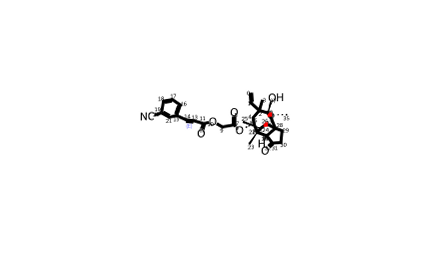 C=CC1(C)C[C@@H](OC(=O)COC(=O)/C=C/c2cccc(C#N)c2)[C@]2(C)[C@H](C)CCC3(CCC(=O)[C@H]32)[C@@H](C)[C@@H]1O